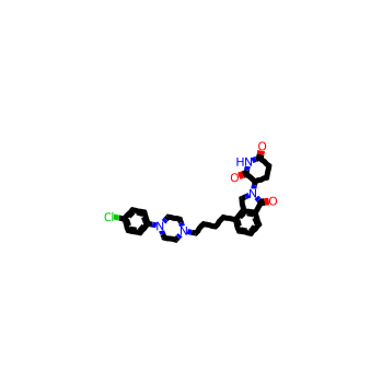 O=C1CCC(N2Cc3c(CCCCN4CCN(c5ccc(Cl)cc5)CC4)cccc3C2=O)C(=O)N1